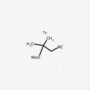 [C-]#[N+]CC(C)(C)OC.[Tc]